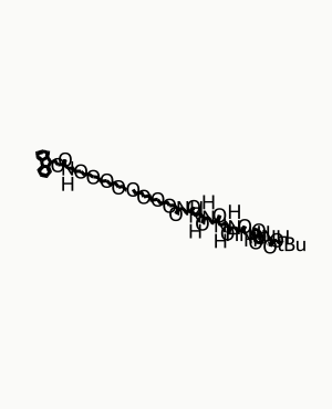 CC(C)(C)OC(=O)N[C@H]1CO[C@H]2[C@@H]1OC[C@@H]2NC(=O)CNC(=O)CNC(=O)CNC(=O)CNC(=O)CNC(=O)COCCOCCOCCOCCOCCOCCOCCOCCNC(=O)OCC1c2ccccc2-c2ccccc21